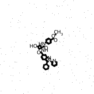 CCOC(=O)c1ccc(NC(=O)C2(NC(=O)c3ccc4c(C5CCCCC5)n(-c5ccccn5)nc4c3)CC(O)C2)cc1